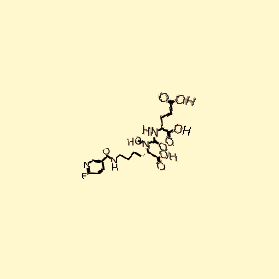 O=C(O)CC[C@H](NC(=O)N(O)[C@@H](CCCCNC(=O)c1ccc(F)nc1)C(=O)O)C(=O)O